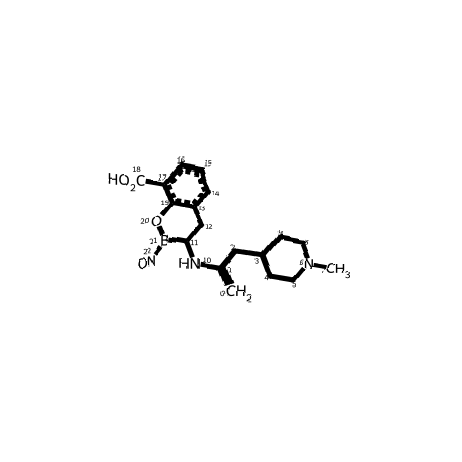 C=C(CC1CCN(C)CC1)NC1Cc2cccc(C(=O)O)c2OB1N=O